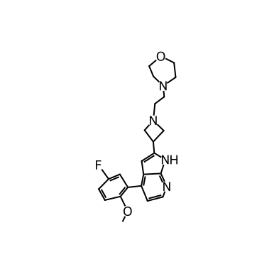 COc1ccc(F)cc1-c1ccnc2[nH]c(C3CN(CCN4CCOCC4)C3)cc12